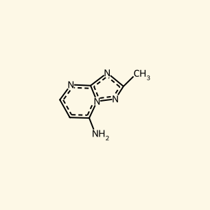 Cc1nc2nccc(N)n2n1